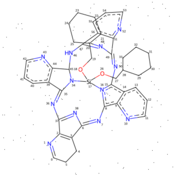 C1=NC2=C(CC1)/C1=N/c3c4ncccc4c4n3[Si](OCC3CCCCC3)(OCC3CCCCC3)N3/C(=N\C2=N1)c1cccnc1C3NC1=N/C(=N\4)c2ncccc21